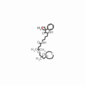 CCC1(CC)C(=O)C(CCCCNC(=O)CCC(C)(C)OCCC(C)(C)CC2CCCCCCCCC2)NC2=C/C=C\C=C/C=C\21